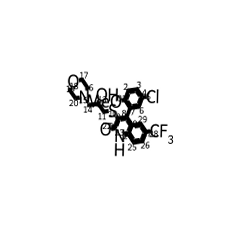 COc1ccc(Cl)cc1-c1c(SCC(O)CN2CCOCC2)c(=O)[nH]c2ccc(C(F)(F)F)cc12